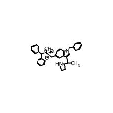 CC(c1cn(Cc2ccccc2)c2ccc(CS(=O)(=O)N(C)C(c3ccccc3)c3ccccc3)cc12)C1CCCN1